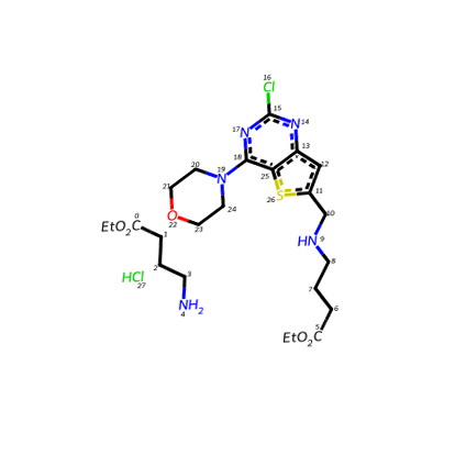 CCOC(=O)CCCN.CCOC(=O)CCCNCc1cc2nc(Cl)nc(N3CCOCC3)c2s1.Cl